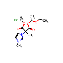 CCO[C@@H](C)OC(=O)C(C)(C(=O)OC)n1cc[n+](C)c1.[Br-]